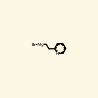 [Br][Mg][CH2]Cc1ccccn1